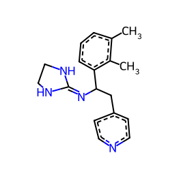 Cc1cccc(C(Cc2ccncc2)N=C2NCCN2)c1C